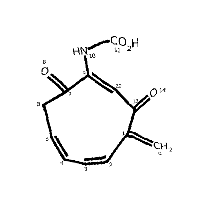 C=C1/C=C\C=C/CC(=O)/C(NC(=O)O)=C\C1=O